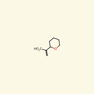 C=C(C(=O)O)C1CCCCO1